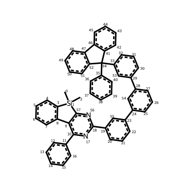 C[Si]1(C)c2ccccc2-c2c(-c3ccccc3)nc(-c3cccc(-c4cccc(-c5cccc(C6(c7ccccc7)c7ccccc7-c7ccccc76)c5)c4)c3)nc21